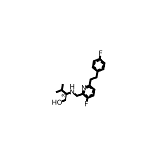 CC(C)[C@H](CO)NCc1nc(CCc2ccc(F)cc2)ccc1F